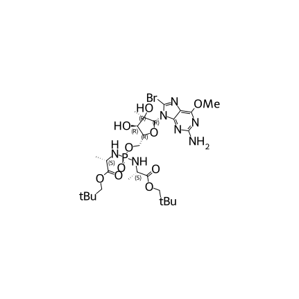 COc1nc(N)nc2c1nc(Br)n2[C@@H]1O[C@H](COP(=O)(N[C@@H](C)C(=O)OCC(C)(C)C)N[C@@H](C)C(=O)OCC(C)(C)C)[C@@H](O)[C@@]1(C)O